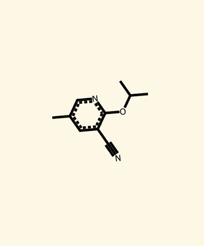 Cc1cnc(OC(C)C)c(C#N)c1